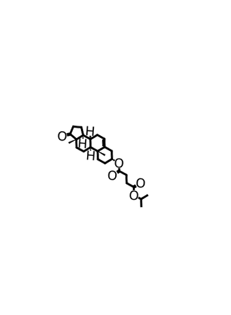 CC(C)OC(=O)CCC(=O)O[C@H]1CC[C@@]2(C)C(=CC[C@@H]3[C@@H]2CC[C@]2(C)C(=O)CC[C@@H]32)C1